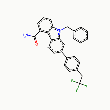 NC(=O)c1cccc2c1c1[c]cc(-c3ccc(CC(F)(F)F)cc3)cc1n2Cc1ccccc1